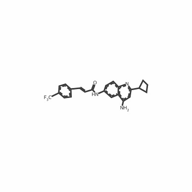 Nc1cc(C2CCC2)nc2ccc(NC(=O)C=Cc3ccc(C(F)(F)F)cc3)cc12